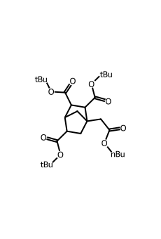 CCCCOC(=O)CC12CC(C(=O)OC(C)(C)C)C(C1)C(C(=O)OC(C)(C)C)C2C(=O)OC(C)(C)C